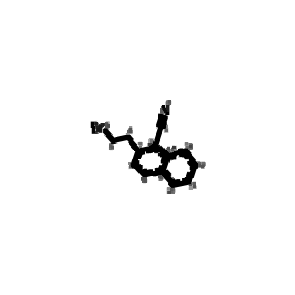 N#Cc1c(CCBr)ccc2ccccc12